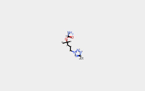 CCc1nnn(CCCC(C)(C)OC(N)=O)n1